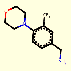 NCc1ccc(N2CCOCC2)c(C(F)(F)F)c1